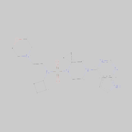 O=S(=O)(N(CCN1CCOCC1)C1CCC1)N1CCN(c2ncnc3[nH]ccc23)CC12CC2